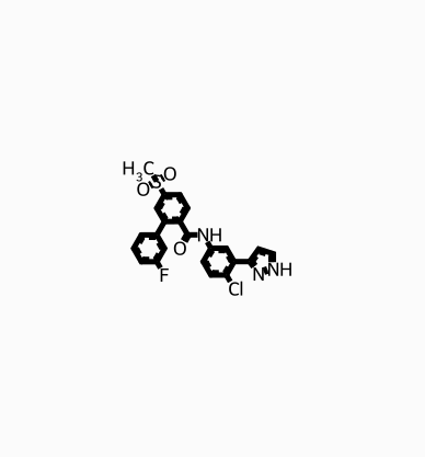 CS(=O)(=O)c1ccc(C(=O)Nc2ccc(Cl)c(-c3cc[nH]n3)c2)c(-c2cccc(F)c2)c1